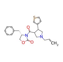 C=CCN1CC(C(=O)N2C(=O)OC[C@@H]2Cc2ccccc2)C(c2ccsc2)C1